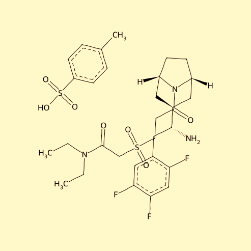 CCN(CC)C(=O)CS(=O)(=O)CCC(=O)N1[C@@H]2CC[C@H]1C[C@H]([C@H](N)Cc1cc(F)c(F)cc1F)C2.Cc1ccc(S(=O)(=O)O)cc1